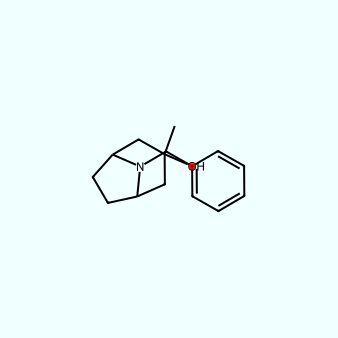 CC1(O)CC2CCC(C1)N2Cc1ccccc1